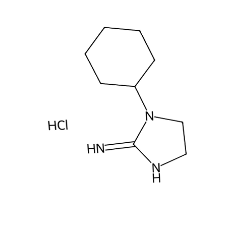 Cl.N=C1NCCN1C1CCCCC1